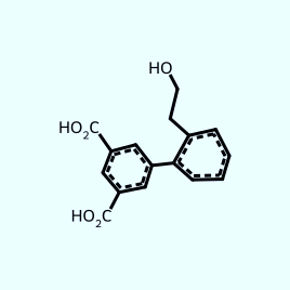 O=C(O)c1cc(C(=O)O)cc(-c2ccccc2CCO)c1